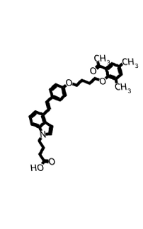 CC(=O)c1cc(C)cc(C)c1OCCCCOc1ccc(C=Cc2cccc3c2ccn3CCCC(=O)O)cc1